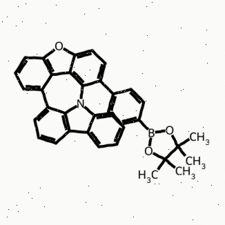 CC1(C)OB(c2ccc(-c3ccc4oc5cccc6c7cccc8c9ccccc9n(c3c4c56)c78)cc2)OC1(C)C